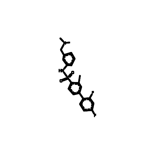 Cc1cc(-c2ccc(F)cc2F)ccc1S(=O)(=O)Nc1cccc(CN(C)C)c1